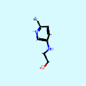 N#Cc1ccc(NCCO)cn1